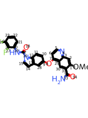 COc1cc2nccc(Oc3ccc4c(ccn4C(=O)Nc4cccc(F)c4F)c3)c2cc1C(N)=O